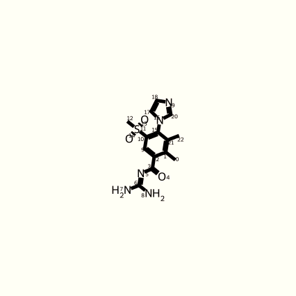 Cc1c(C(=O)N=C(N)N)cc(S(C)(=O)=O)c(-n2ccnc2)c1C